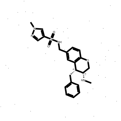 CN[C@H]1COc2ccc(CNS(=O)(=O)c3cnn(C)c3)cc2[C@H]1Cc1ccccc1